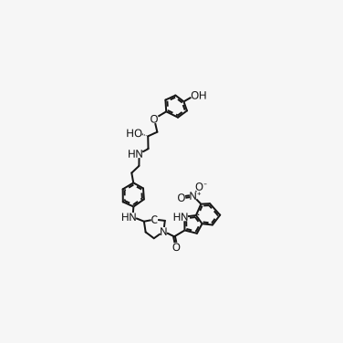 O=C(c1cc2cccc([N+](=O)[O-])c2[nH]1)N1CCC(Nc2ccc(CCNC[C@H](O)COc3ccc(O)cc3)cc2)CC1